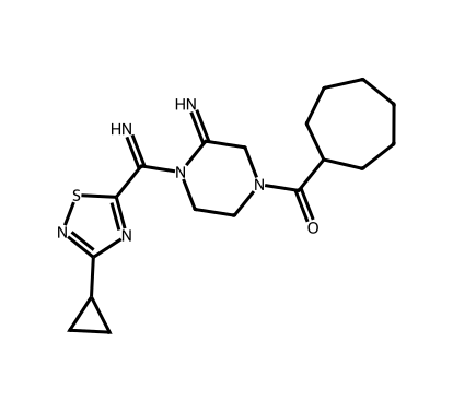 N=C1CN(C(=O)C2CCCCCC2)CCN1C(=N)c1nc(C2CC2)ns1